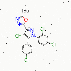 CC(C)(C)c1nnc(-c2nn(-c3ccc(Cl)cc3Cl)c(-c3ccc(Cl)cc3)c2Cl)o1